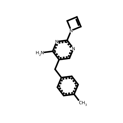 Cc1ccc(Cc2cnc(N3C=CC3)nc2N)cc1